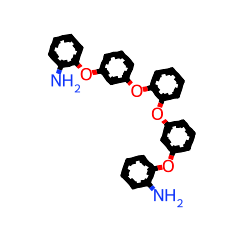 Nc1ccccc1Oc1cccc(Oc2ccccc2Oc2cccc(Oc3ccccc3N)c2)c1